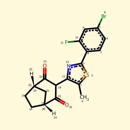 Cc1sc(-c2ccc(Br)cc2F)nc1C1C(=O)[C@@H]2CC[C@@H](C2)C1=O